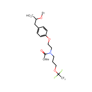 CCOC(Cc1ccc(OCCN(CCCOC(F)(F)C(F)(F)F)C(=O)OC)cc1)C(=O)O